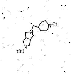 CCN1CCC(CN2CC3CN(C(C)(C)C)CC3C2)CC1